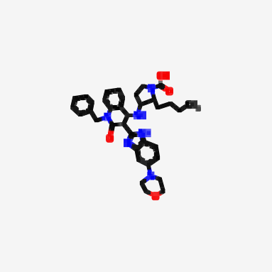 CCCCC1C(NC2c3ccccc3N(Cc3ccccc3)C(=O)C2c2nc3cc(N4CCOCC4)ccc3[nH]2)CCN1C(=O)O